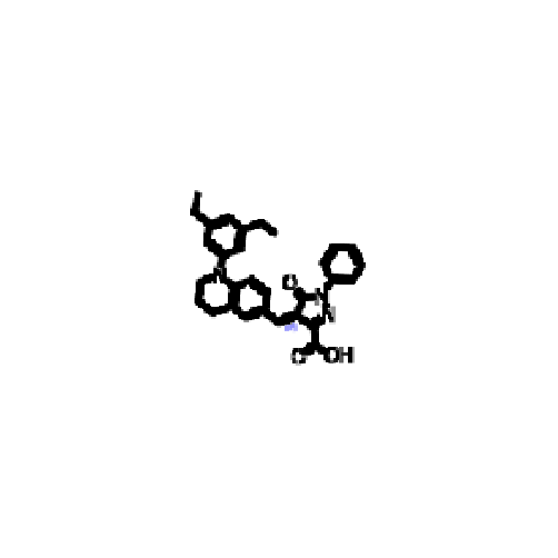 CCc1cc(CC)cc(N2CCCc3cc(/C=C4\C(=O)N(c5ccccc5)N=C4C(=O)O)ccc32)c1